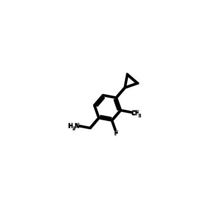 NCc1ccc(C2CC2)c(C(F)(F)F)c1F